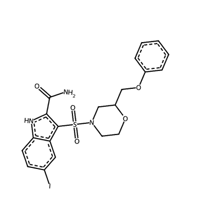 NC(=O)c1[nH]c2ccc(I)cc2c1S(=O)(=O)N1CCOC(COc2ccccc2)C1